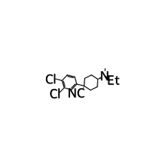 CCN(C)[C@H]1CC[C@@](C#N)(c2ccc(Cl)c(Cl)c2)CC1